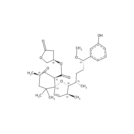 CO[C@@H](CC[C@H](C)[C@H]1O[C@@]2(C=C[C@@H]1C)[C@H](C(=O)O[C@H]1COC(=O)C1)C(=O)[C@H](C)CC2(C)C)c1cccc(O)c1